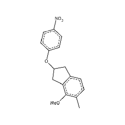 COc1c(C)ccc2c1CC(Oc1ccc([N+](=O)[O-])cc1)C2